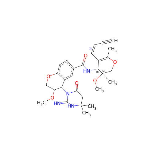 C#C/C=C\C1=C(C)OC[C@@](C)(OC)[C@@H]1NC(=O)c1ccc2c(c1)C(N1C(=N)NC(C)(C)CC1=O)C(OC)CO2